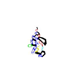 CCOc1cccc(-c2nc3nc(Cl)c(NSCc4ncccc4F)nc3n2-c2c(OC)cccc2OC)n1